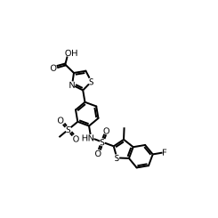 Cc1c(S(=O)(=O)Nc2ccc(-c3nc(C(=O)O)cs3)cc2S(C)(=O)=O)sc2ccc(F)cc12